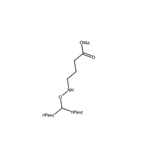 CCCCCC(CCCCC)ONCCCC(=O)OC